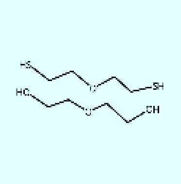 OCCOCCO.SCCOCCS